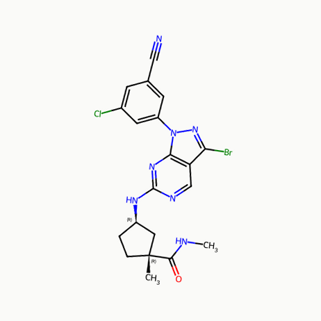 CNC(=O)[C@]1(C)CC[C@@H](Nc2ncc3c(Br)nn(-c4cc(Cl)cc(C#N)c4)c3n2)C1